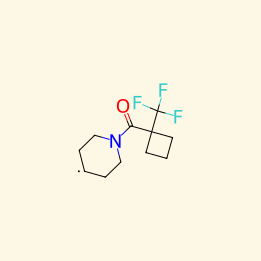 O=C(N1CC[CH]CC1)C1(C(F)(F)F)CCC1